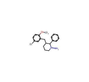 CCc1ccc(OC(F)(F)F)c(CC2CCCN(N)C2c2ccccc2)c1